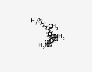 CCCCCCCC(CC)c1ccc(-c2cc(S(N)(=O)=O)ccc2S(N)(=O)=O)cc1